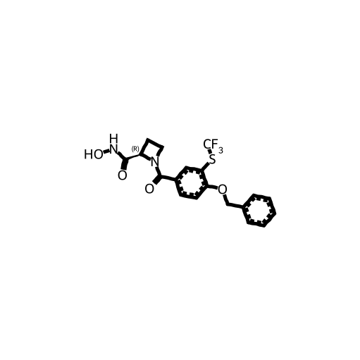 O=C(NO)[C@H]1CCN1C(=O)c1ccc(OCc2ccccc2)c(SC(F)(F)F)c1